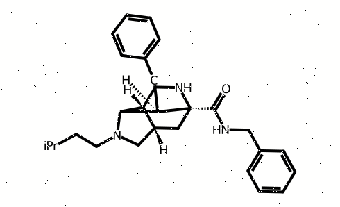 CC(C)CCN1C[C@H]2C[C@]3(C(=O)NCc4ccccc4)NC[C@H]2C1[C@H]3Cc1ccccc1